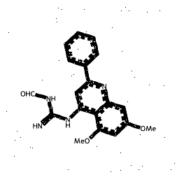 COc1cc(OC)c2c(NC(=N)NC=O)cc(-c3ccccc3)nc2c1